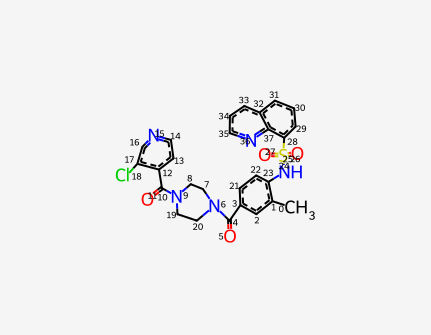 Cc1cc(C(=O)N2CCN(C(=O)c3ccncc3Cl)CC2)ccc1NS(=O)(=O)c1cccc2cccnc12